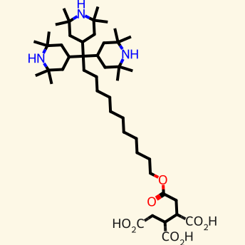 CC1(C)CC(C(CCCCCCCCCCCOC(=O)CC(C(=O)O)C(CC(=O)O)C(=O)O)(C2CC(C)(C)NC(C)(C)C2)C2CC(C)(C)NC(C)(C)C2)CC(C)(C)N1